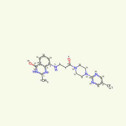 Cc1nc2c(NCCC(=O)N3CCN(c4ncc(C(F)(F)F)cn4)CC3)cccc2c(=O)[nH]1